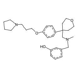 CN(Cc1cccc(O)c1)CC1(c2ccc(OCCCN3CCCC3)cc2)CCOCC1